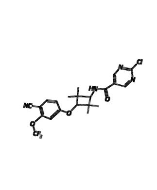 CC1(C)C(NC(=O)c2cnc(Cl)nc2)C(C)(C)C1Oc1ccc(C#N)c(OC(F)(F)F)c1